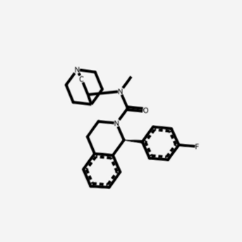 CN(C(=O)N1CCc2ccccc2[C@@H]1c1ccc(F)cc1)C1CN2CCC1CC2